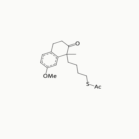 COc1ccc2c(c1)C(C)(CCCCSC(C)=O)C(=O)CC2